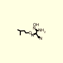 CC(C)CCON=C(C#N)C(N)=NO